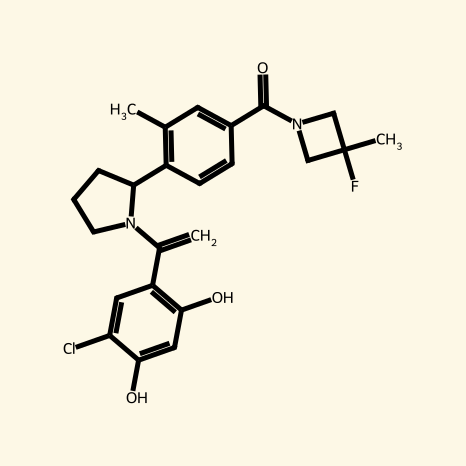 C=C(c1cc(Cl)c(O)cc1O)N1CCCC1c1ccc(C(=O)N2CC(C)(F)C2)cc1C